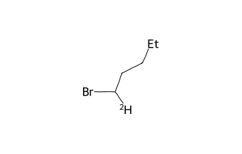 [2H]C(Br)CCCC